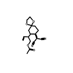 C=CC(COC(C)=O)C1CC2(CCC1=C(C#N)C#N)OCCO2